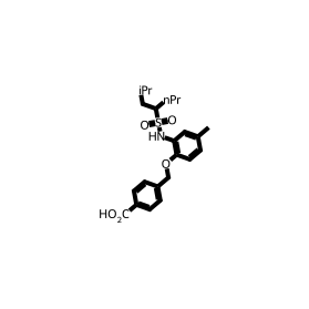 CCCC(CC(C)C)S(=O)(=O)Nc1cc(C)ccc1OCc1ccc(C(=O)O)cc1